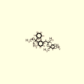 C=CC(C)(C=C)OC(C)Cc1cccc(C(C)(OC)c2ccccc2)c1